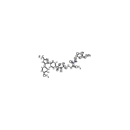 Cc1ccc(-c2cc(C(F)(F)F)nn2-c2ccc(S(=O)(=O)NC(=O)OCCN(C)/[N+]([O-])=N/OC(C)OC(=O)OC(C)C)cc2)cc1